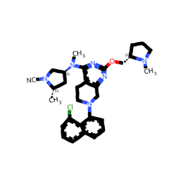 C[C@H]1C[C@H](N(C)c2nc(OC[C@@H]3CCCN3C)nc3c2CCN(c2cccc4cccc(Cl)c24)C3)CN1C#N